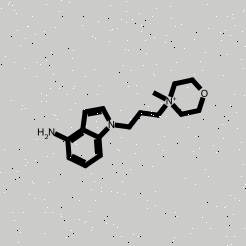 C[N+]1(CCCn2ccc3c(N)cccc32)CCOCC1